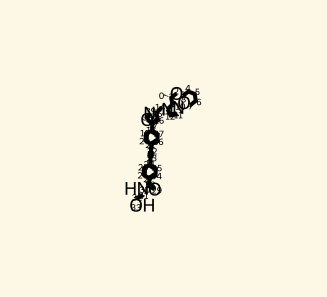 C[C@H](OC1CCCCO1)c1nccn1Cc1cc(-c2ccc(C#Cc3ccc(C(=O)NCCO)cc3)cc2)on1